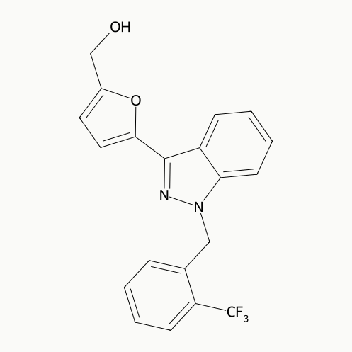 OCc1ccc(-c2nn(Cc3ccccc3C(F)(F)F)c3ccccc23)o1